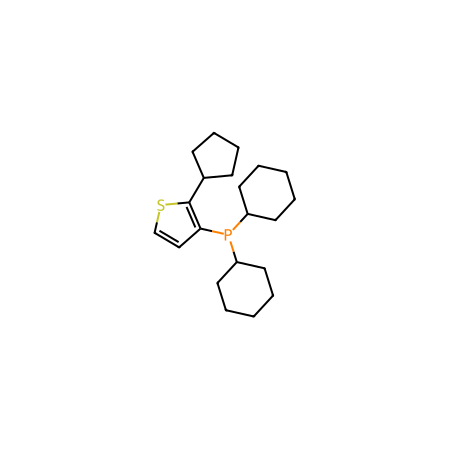 c1cc(P(C2CCCCC2)C2CCCCC2)c(C2CCCC2)s1